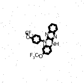 FC(F)(F)Oc1ccc(Nc2nc3ccccc3nc2Nc2ccc(OC(F)(F)F)cc2)cc1